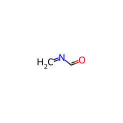 C=NC=O